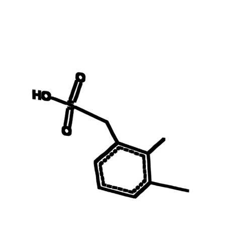 Cc1cccc(CS(=O)(=O)O)c1C